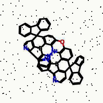 c1ccc2c(c1)-c1ccccc1C21c2ccnc3c2B2c4c1ccc1c4[N+]4(c5c(ccc6c5B5c7c(ccnc7-c7ccc[n+]4c75)C64c5ccccc5-c5ccccc54)O1)[n+]1cccc-3c12